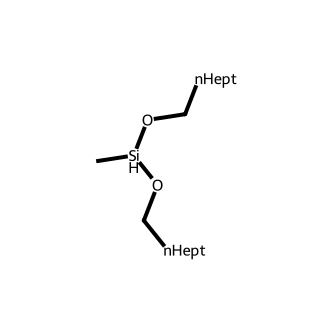 CCCCCCCCO[SiH](C)OCCCCCCCC